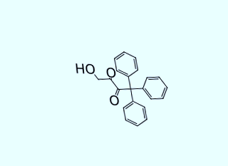 O=C(CO)C(=O)C(c1ccccc1)(c1ccccc1)c1ccccc1